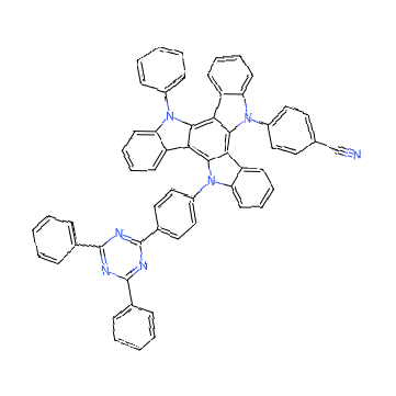 N#Cc1ccc(-n2c3ccccc3c3c4c(c5ccccc5n4-c4ccccc4)c4c(c5ccccc5n4-c4ccc(-c5nc(-c6ccccc6)nc(-c6ccccc6)n5)cc4)c32)cc1